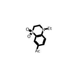 CCN1CCS(=O)(=O)c2cc(C(C)=O)ccc21